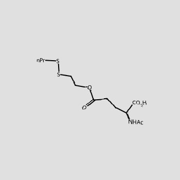 CCCSSCCOC(=O)CCC(NC(C)=O)C(=O)O